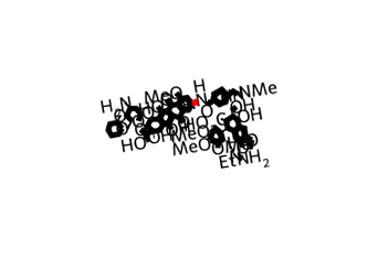 CCNN.CNNCc1ccc(C(=O)NC(C)C)cc1.COc1cc([C@@H]2c3cc4c(cc3[C@H](O)[C@@H](CO)[C@@H]2C(=O)O)OCO4)cc(OC)c1OC.COc1cccc2c1C(=O)c1c(O)c3c(c(O)c1C2=O)C[C@@](O)(C(=O)CO)CC3O[C@H]1C[C@H](N)[C@H](O[C@@H]2CCCCO2)[C@H](C)O1